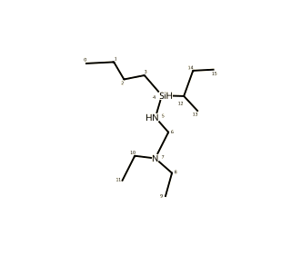 CCCC[SiH](NCN(CC)CC)C(C)CC